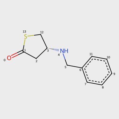 O=C1C[C@@H](NCc2ccccc2)CS1